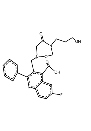 O=C(O)c1c(CN2CCN(CCCO)C(=O)C2)c(-c2ccccc2)nc2ccc(F)cc12